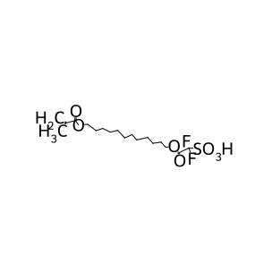 C=C(C)C(=O)OCCCCCCCCCCCCOC(=O)C(F)(F)S(=O)(=O)O